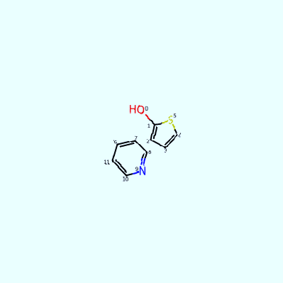 Oc1cccs1.c1ccncc1